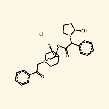 C[C@@H]1CCCN1C(C(=O)O[C@H]1C[N+]2(CC(=O)c3ccccc3)CCC1CC2)c1ccccc1.[Cl-]